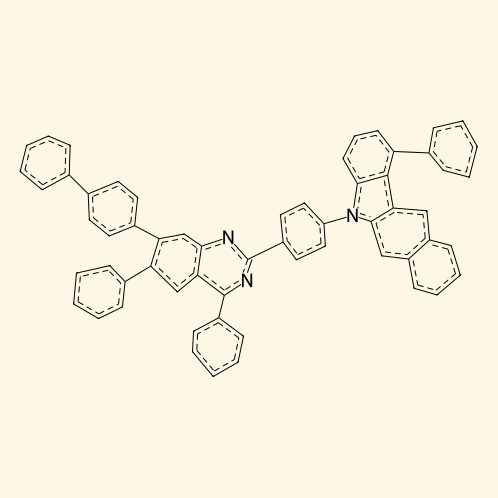 c1ccc(-c2ccc(-c3cc4nc(-c5ccc(-n6c7cc8ccccc8cc7c7c(-c8ccccc8)cccc76)cc5)nc(-c5ccccc5)c4cc3-c3ccccc3)cc2)cc1